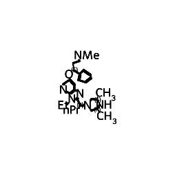 CCC[C@H](c1nc2cc(O[C@@H](CCNC)c3ccccc3)cnc2n1CC)N1C[C@@H](C)N[C@@H](C)C1